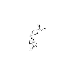 CCOC(=O)c1ccc(Oc2ccc3c(c2)COB3O)cc1